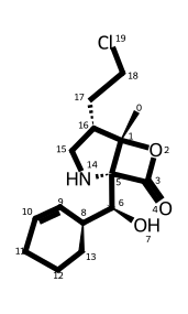 C[C@@]12OC(=O)[C@]1([C@@H](O)[C@@H]1C=CCCC1)NC[C@@H]2CCCl